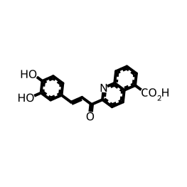 O=C(C=Cc1ccc(O)c(O)c1)c1ccc2c(C(=O)O)cccc2n1